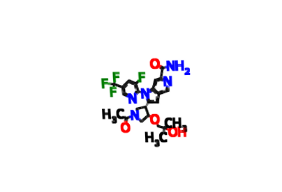 CC(=O)N1C[C@H](OCC(C)(C)O)[C@@H](c2cc3cnc(C(N)=O)cc3n2-c2ncc(C(F)(F)F)cc2F)C1